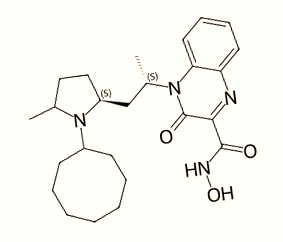 CC1CC[C@@H](C[C@H](C)n2c(=O)c(C(=O)NO)nc3ccccc32)N1C1CCCCCCC1